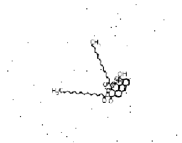 CCCCCCCCCCCCCC(=O)OC(=O)c1ccc2cc3cccc(C(=O)O)c3c(C(=O)O)c2c1C(=O)OC(=O)CCCCCCCCCCCCC